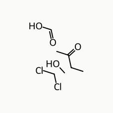 CCC(C)=O.CO.ClCCl.O=CO